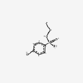 CCOP(=O)(O)c1ccc(Cl)cc1